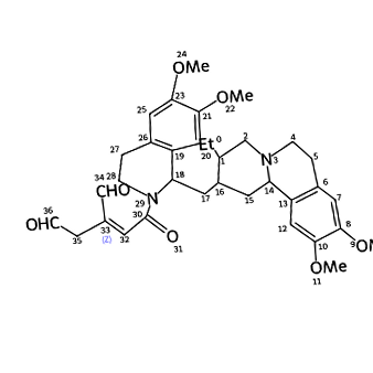 CCC1CN2CCc3cc(OC)c(OC)cc3C2CC1CC1c2cc(OC)c(OC)cc2CCN1C(=O)/C=C(\C=O)CC=O